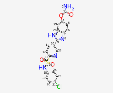 NC(=O)Oc1ccc2nc(-c3ccc(S(=O)(=O)Nc4ccc(Cl)cc4)nc3)[nH]c2c1